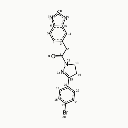 O=C(Cc1ccc2nsnc2c1)N1CCC(c2ccc(Br)cc2)=N1